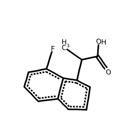 CC(C(=O)O)c1cccc2cccc(F)c12